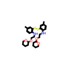 Cc1ccc(NCCOC2CCCCO2)c(SSc2cc(C)ccc2NCCOC2CCCCO2)c1